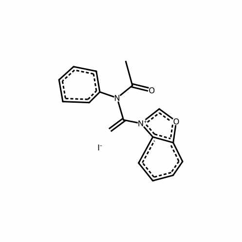 C=C(N(C(C)=O)c1ccccc1)[n+]1coc2ccccc21.[I-]